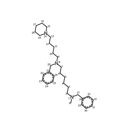 CN(CCCCCCN(CCCCCN1CCCCC1)Cc1ccccc1)Cc1ccccc1